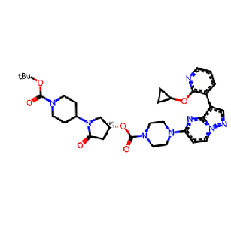 CC(C)(C)OC(=O)N1CCC(N2C[C@H](OC(=O)N3CCN(c4ccn5ncc(-c6cccnc6OC6CC6)c5n4)CC3)CC2=O)CC1